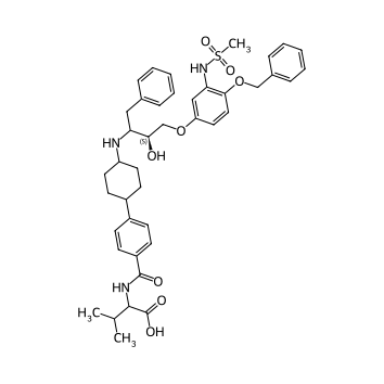 CC(C)C(NC(=O)c1ccc(C2CCC(NC(Cc3ccccc3)[C@H](O)COc3ccc(OCc4ccccc4)c(NS(C)(=O)=O)c3)CC2)cc1)C(=O)O